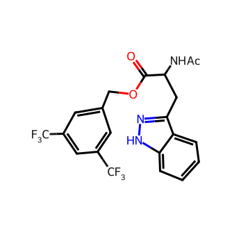 CC(=O)NC(Cc1n[nH]c2ccccc12)C(=O)OCc1cc(C(F)(F)F)cc(C(F)(F)F)c1